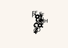 Cc1cc2c(cc1C)N(C(=O)OC(C)(C)C)CCC[C@@H]2N(Cc1cc(C(F)(F)F)cc(C(F)(F)F)c1)c1nn[nH]n1